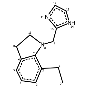 CCc1cccc2c1N(Cc1ncc[nH]1)CC2